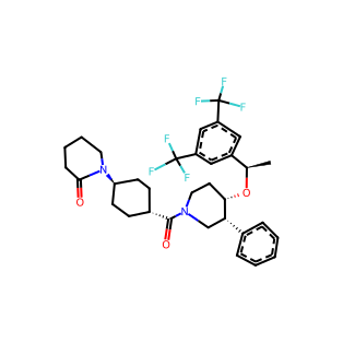 C[C@@H](O[C@H]1CCN(C(=O)[C@H]2CC[C@H](N3CCCCC3=O)CC2)C[C@H]1c1ccccc1)c1cc(C(F)(F)F)cc(C(F)(F)F)c1